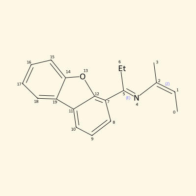 C/C=C(C)\N=C(/CC)c1cccc2c1oc1ccccc12